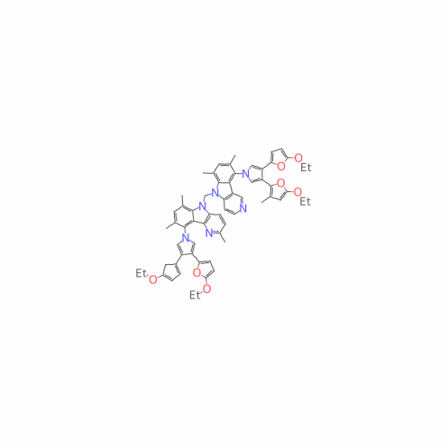 CCOC1=CC=C(c2cn(-c3c(C)cc(C)c4c3c3nc(C)ccc3n4Cn3c4ccncc4c4c(-n5cc(-c6ccc(OCC)o6)c(-c6oc(OCC)cc6C)c5)c(C)cc(C)c43)cc2-c2ccc(OCC)o2)C1